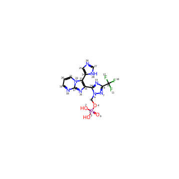 O=P(O)(O)OCn1nc(C(F)(F)F)nc1-c1nc2ncccn2c1-c1cnc[nH]1